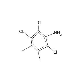 Cc1c(C)c(Cl)c(Cl)c(N)c1Cl